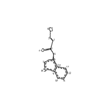 O=C(CCCl)Cc1csc2ccccc12